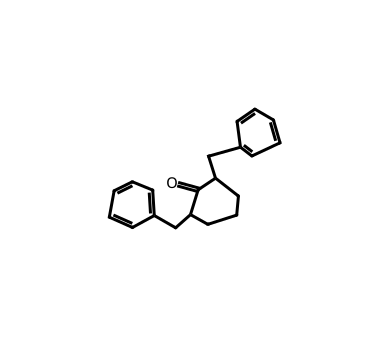 O=C1C(Cc2ccccc2)CCCC1Cc1ccccc1